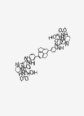 COC(=O)N[C@H](C(=O)N1[C@H](c2nc3cc(-c4cc5c6c(c(-c7ccc8nc([C@@H]9C[C@@H]%10CCCC[C@@H]%10N9C(=O)[C@@H](NC(=O)OC)[C@@H](C)O)[nH]c8c7)cc7c6c4CC7)CC5)ccc3[nH]2)C[C@@H]2CCCC[C@@H]21)[C@@H](C)O